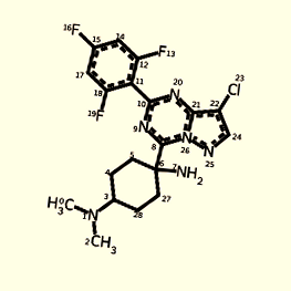 CN(C)C1CCC(N)(c2nc(-c3c(F)cc(F)cc3F)nc3c(Cl)cnn23)CC1